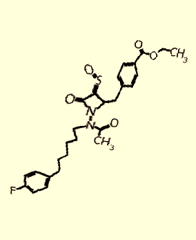 CCOC(=O)c1ccc(CC2C(=S=O)C(=O)N2N(CCCCCCc2ccc(F)cc2)C(C)=O)cc1